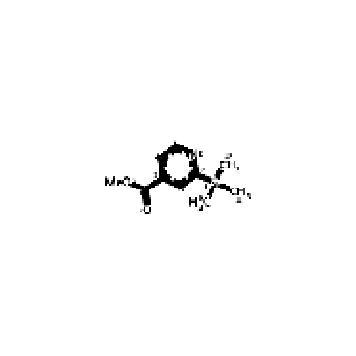 COC(=O)c1ccnc([Si](C)(C)C)c1